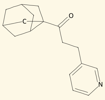 O=C(CCc1cccnc1)C12CC3CC(CC1C3)C2